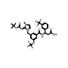 Cn1ccn(Cc2cc(OC(F)(F)F)cc(C(=O)NC(CC(=O)O)c3cccc(C(F)(F)F)c3)c2)/c1=N/C(=O)OC(C)(C)C